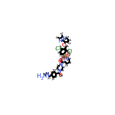 Cc1nc2c(OCc3c(Cl)ccc(S(=O)(=O)N4CCC[C@H]4C(=O)N4CCN(C(=O)c5ccc(C=NN)cc5)CC4)c3Cl)cccn2c1C